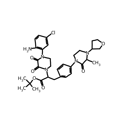 CC1C(=O)N(c2ccc(CC(C(=O)OC(C)(C)C)N3CCN(c4cc(Cl)ccc4N)C(=O)C3=O)cc2)CCN1C1CCOC1